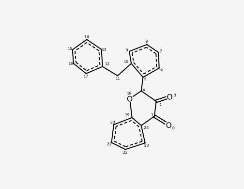 O=C1C(=O)C(c2ccccc2Cc2ccccc2)Oc2ccccc21